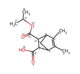 CC1=C(C)C2CC1C(C(=O)O)C2C(=O)OC(C)C